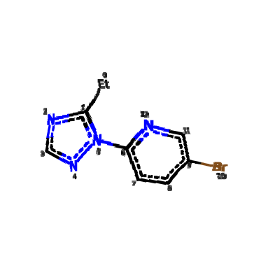 CCc1ncnn1-c1ccc(Br)cn1